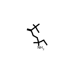 C=C(CCC(C)(N)CC)C(C)(C)C